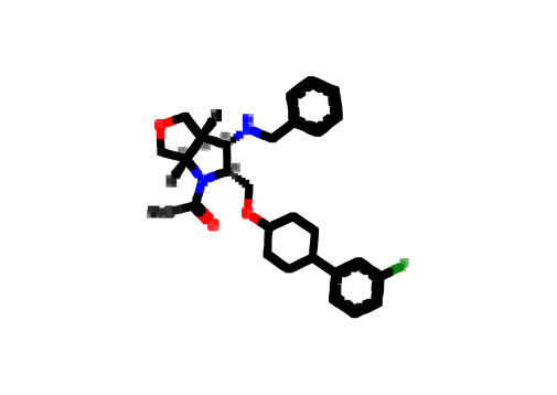 COC(=O)N1[C@@H]2COC[C@@H]2[C@H](NCc2ccccc2)[C@@H]1COC1CCC(c2cccc(F)c2)CC1